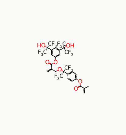 C=C(C)C(=O)Oc1ccc(C(OCC(=C)C(=O)Oc2cc(C(O)(C(F)(F)F)C(F)(F)F)cc(C(O)(C(F)(F)F)C(F)(F)F)c2)(C(F)(F)F)C(F)(F)F)cc1